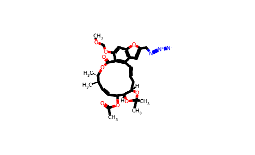 COCOc1cc2oc(CN=[N+]=[N-])cc2c2c1C(=O)O[C@@H](C)[C@H](C)/C=C\C(OC(C)=O)[C@H]1OC(C)(C)O[C@H]1C/C=C/2